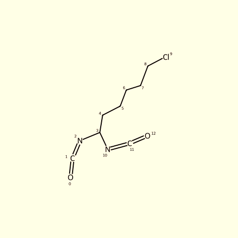 O=C=NC(CCCCCCl)N=C=O